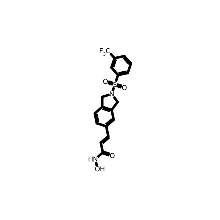 O=C(C=Cc1ccc2c(c1)CN(S(=O)(=O)c1cccc(C(F)(F)F)c1)C2)NO